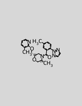 Cc1ccc(-n2nccn2)c(C(=O)N2C[C@@H](COc3ncccc3C)OC[C@@H]2C)c1